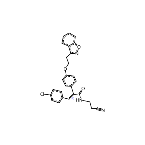 N#CCCNC(=O)/C(=C/c1ccc(Cl)cc1)c1ccc(OCCc2noc3ccccc23)cc1